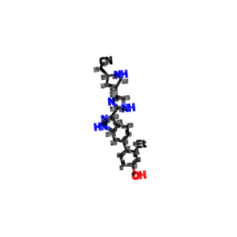 CCc1cc(O)ccc1-c1ccc2c(-c3nc(C4=C[C@@H](CC#N)NC4)c[nH]3)n[nH]c2c1